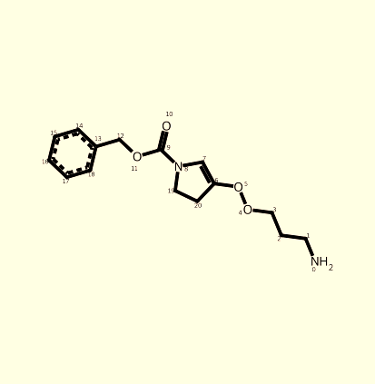 NCCCOOC1=CN(C(=O)OCc2ccccc2)CC1